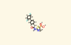 COP(OC)c1sc(N(C)C(=O)Cc2ccc(-c3cc(F)ccc3F)cc2)nc1C